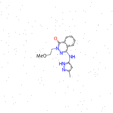 COCCn1nc(Nc2cc(C)n[nH]2)c2ccccc2c1=O